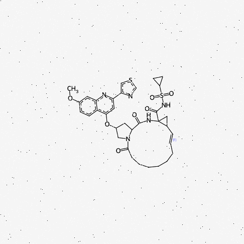 COc1ccc2c(OC3CC4C(=O)NC5(C(=O)NS(=O)(=O)C6CC6)CC5/C=C/CCCCCCC(=O)N4C3)cc(-c3cscn3)nc2c1